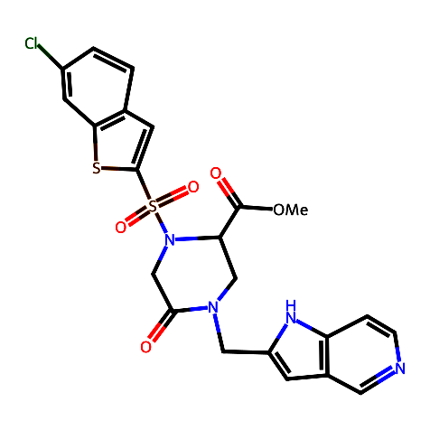 COC(=O)C1CN(Cc2cc3cnccc3[nH]2)C(=O)CN1S(=O)(=O)c1cc2ccc(Cl)cc2s1